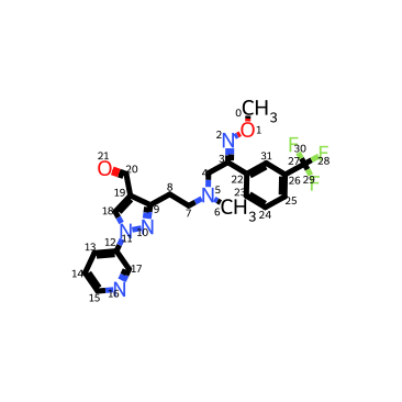 CO/N=C(/CN(C)CCc1nn(-c2cccnc2)cc1C=O)c1cccc(C(F)(F)F)c1